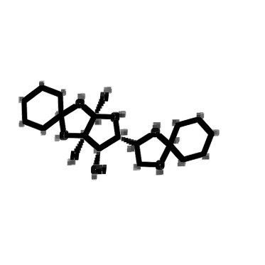 O[C@@H]1[C@H]2OC3(CCCCC3)O[C@H]2O[C@@H]1C1COC2(CCCCC2)O1